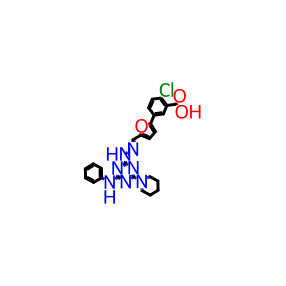 O=C(O)c1cc(-c2ccc(/C=N/Nc3nc(Nc4ccccc4)nc(N4CCCCC4)n3)o2)ccc1Cl